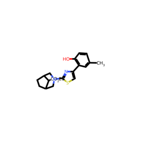 CCOC(=O)C1C2CCC1CN(c1nc(-c3cc(C)ccc3O)cs1)C2